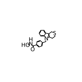 O=C(NO)c1ccc(Cn2c3c(c4ccccc42)CSCC3)cc1